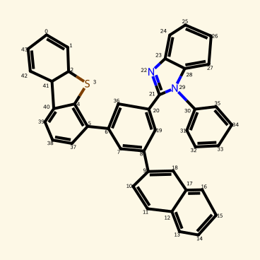 C1=CC2Sc3c(-c4cc(-c5ccc6ccccc6c5)cc(-c5nc6ccccc6n5-c5ccccc5)c4)cccc3C2C=C1